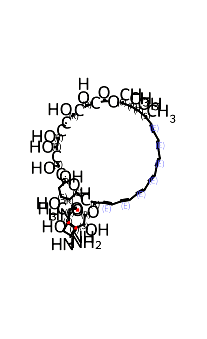 C[C@@H]1[C@H](O)[C@@H](C)/C=C/C=C/C=C/C=C/C=C/C=C/C=C/[C@H](O[C@@H]2O[C@H](C)[C@@H](O)[C@H](N)[C@@H]2O)C[C@@H]2O[C@](O)(C[C@@H](O)C[C@@H](O)[C@H](O)CC[C@@H](O)C[C@@H](O)CC(=O)O[C@H]1C)C[C@H](O)[C@H]2C(=O)NC1CC2(C1)NN2